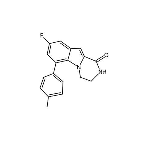 Cc1ccc(-c2cc(F)cc3cc4n(c23)CCNC4=O)cc1